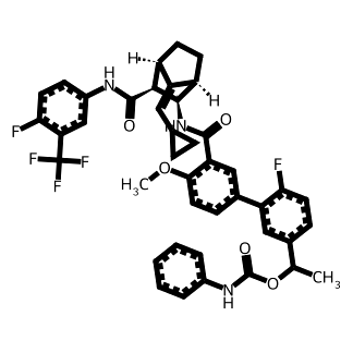 COc1ccc(-c2cc(C(C)OC(=O)Nc3ccccc3)ccc2F)cc1C(=O)N[C@H]1[C@@H](C(=O)Nc2ccc(F)c(C(F)(F)F)c2)[C@H]2CC[C@@H]1/C2=C\C1CC1